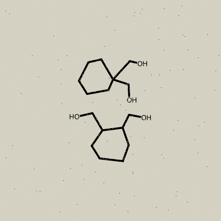 OCC1(CO)CCCCC1.OCC1CCCCC1CO